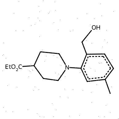 CCOC(=O)C1CCN(c2cc(C)ccc2CO)CC1